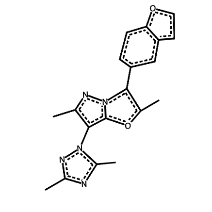 Cc1nc(C)n(-c2c(C)nn3c(-c4ccc5occc5c4)c(C)oc23)n1